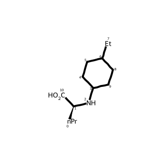 CCC[C@H](NC1CCC(CC)CC1)C(=O)O